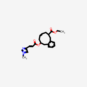 CCOC(=O)C1CC=CCC(OC(=O)C=Cc2cn(C)cn2)Cc2ccccc2C1